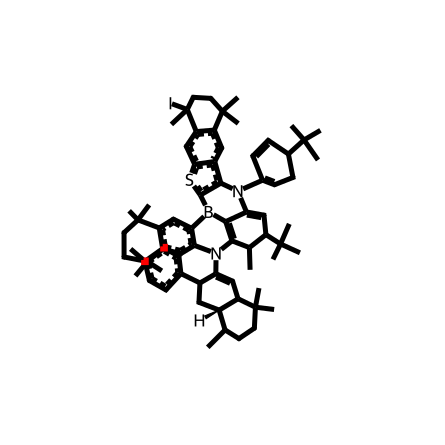 Cc1ccc(C2C[C@H]3C(C)CCC(C)(C)C3C=C2N2C3=C4B(c5cc6c(cc52)C(C)(C)CCC6(C)C)c2sc5cc6c(cc5c2N(C2=CCC(C(C)(C)C)C=C2)C4=CC(C(C)(C)C)C3C)C(C)(C)CCC6(C)I)cc1